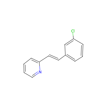 Clc1cccc(/C=C/c2ccccn2)c1